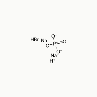 Br.O=P([O-])([O-])[O-].[H+].[Na+].[Na+]